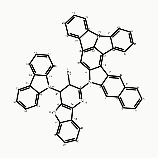 CCC1C(n2c3cc4ccccc4cc3c3c4c5ccccc5n5c6ccccc6c(cc32)c45)=Nc2c(oc3ccccc23)C1n1c2ccccc2c2ccccc21